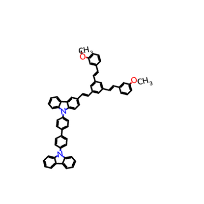 COc1cccc(/C=C/c2cc(/C=C/c3cccc(OC)c3)cc(/C=C/c3ccc4c(c3)c3ccccc3n4-c3ccc(-c4ccc(-n5c6ccccc6c6ccccc65)cc4)cc3)c2)c1